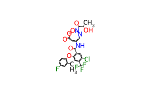 Cc1cc(F)ccc1Oc1cc(C(F)(F)F)c(Cl)cc1C(=O)Nc1cnn(C(=O)C(C)O)ooc(=O)c1